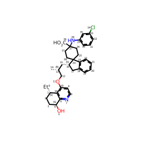 CC[C@H]1CC[C@H](O)c2nccc(OC[C@H](C)C[C@H]3Cc4ccccc4C34CCC(Nc3cccc(Cl)c3)(C(=O)O)CC4)c21